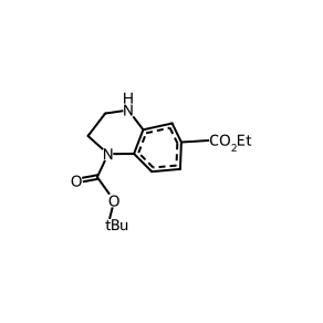 CCOC(=O)c1ccc2c(c1)NCCN2C(=O)OC(C)(C)C